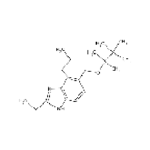 CCCc1c(CO[Si](C)(C)C(C)(C)C)ccc2[nH]c(CN)nc12